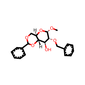 CO[C@H]1O[C@@H]2COC(c3ccccc3)O[C@H]2[C@H](O)[C@H]1OCc1ccccc1